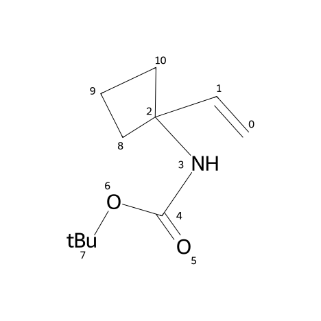 C=CC1(NC(=O)OC(C)(C)C)CCC1